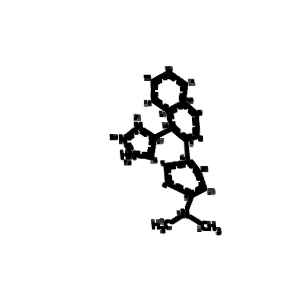 CN(C)c1ccc(-c2ccc3ccccc3c2-c2c[nH]nn2)cc1